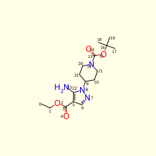 CCOC(=O)c1cnn(C2CCN(C(=O)OC(C)(C)C)CC2)c1N